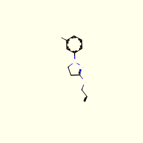 C=CCNC1=NN(c2cccc(C(F)(F)F)c2)CC1